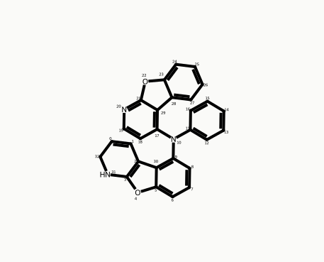 C1=Cc2c(oc3cccc(N(c4ccccc4)c4ccnc5oc6ccccc6c45)c23)NC1